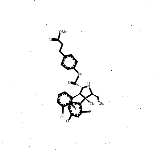 COC(=O)CCc1ccc(NC(=O)[C@@H]2N[C@@H](CC(C)(C)C)[C@](C#N)(c3ccc(Cl)cc3F)[C@H]2c2cccc(Cl)c2F)cc1